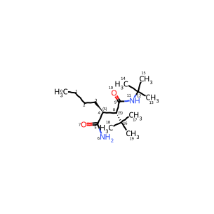 CCCC[C@H](C(N)=O)[C@H](C(=O)NC(C)(C)C)C(C)(C)C